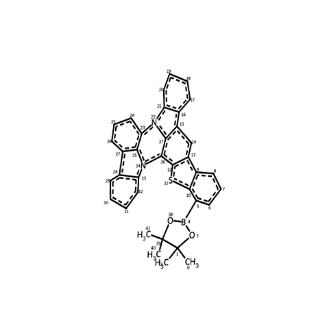 CC1(C)OB(c2cccc3c2sc2c3cc3c4ccccc4n4c5cccc6c7ccccc7n(c65)c2c34)OC1(C)C